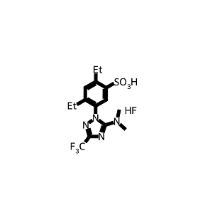 CCc1cc(CC)c(S(=O)(=O)O)cc1-n1nc(C(F)(F)F)nc1N(C)C.F